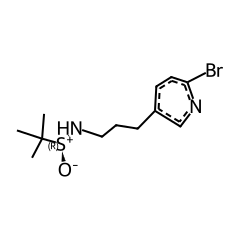 CC(C)(C)[S@+]([O-])NCCCc1ccc(Br)nc1